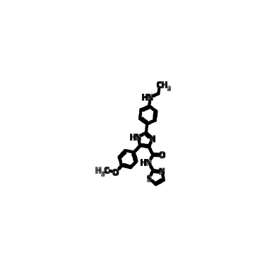 CCNc1ccc(-c2nc(C(=O)Nc3nccs3)c(-c3ccc(OC)cc3)[nH]2)cc1